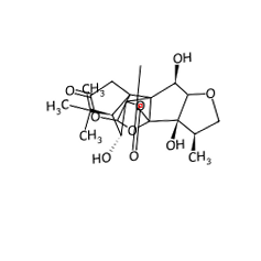 C[C@@H]1COC2[C@H](O)C34C5OC(=O)C3(OC3OC(=O)CC34[C@H](C(C)(C)C)[C@H]5O)[C@]21O